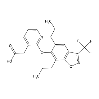 CCCc1cc2c(C(F)(F)F)noc2c(CCC)c1Oc1ncccc1CC(=O)O